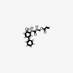 C=CC(=O)OCNC(=O)Nc1cc(-c2ccccc2)ccc1O